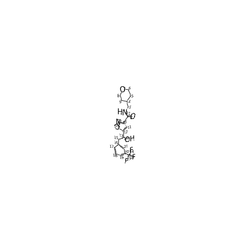 O=C(NCC1CCOCC1)c1cc(C(O)Cc2cccc(C(F)(F)F)c2)on1